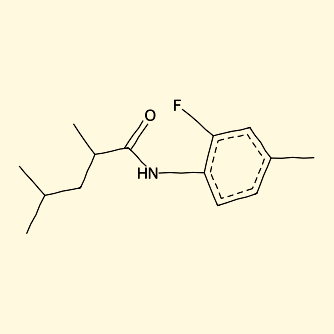 Cc1ccc(NC(=O)C(C)CC(C)C)c(F)c1